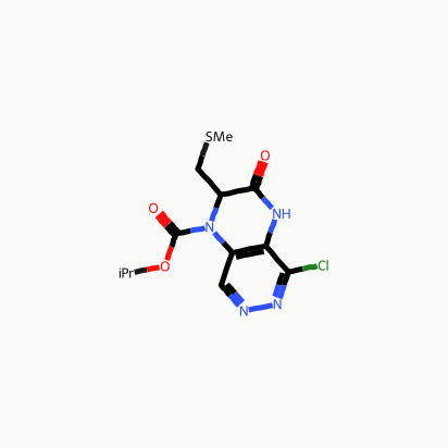 CSCC1C(=O)Nc2c(cnnc2Cl)N1C(=O)OC(C)C